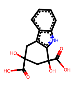 O=C(O)C1(O)Cc2c([nH]c3ccccc23)C(O)(C(=O)O)C1